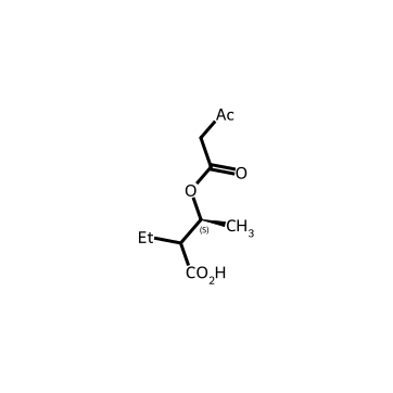 CCC(C(=O)O)[C@H](C)OC(=O)CC(C)=O